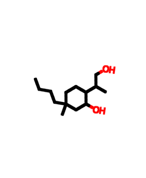 CCCCC1(C)CCC(C(C)CO)C(O)C1